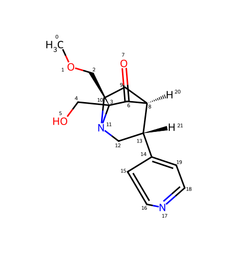 COC[C@@]1(CO)C(=O)[C@H]2CCN1C[C@H]2c1ccncc1